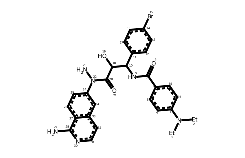 CCN(CC)c1ccc(C(=O)NC(c2ccc(Br)cc2)C(O)C(=O)N(N)c2ccc3c(N)nccc3c2)cc1